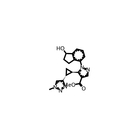 COC(=O)c1cnn(-c2cccc3c2CCC3O)c1[C@@H]1C[C@H]1c1cn(C)nn1